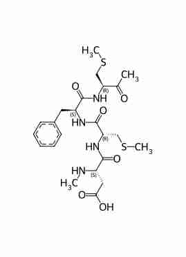 CN[C@@H](CC(=O)O)C(=O)N[C@@H](CSC)C(=O)N[C@@H](Cc1ccccc1)C(=O)N[C@@H](CSC)C(C)=O